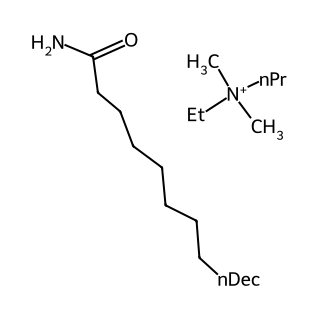 CCCCCCCCCCCCCCCCCC(N)=O.CCC[N+](C)(C)CC